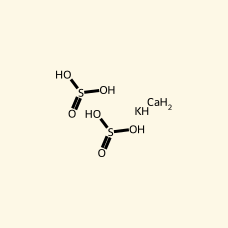 O=S(O)O.O=S(O)O.[CaH2].[KH]